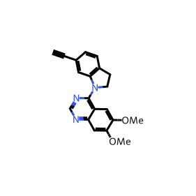 C#Cc1ccc2c(c1)N(c1ncnc3cc(OC)c(OC)cc13)CC2